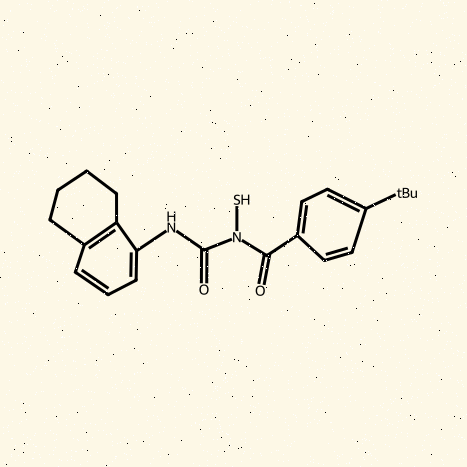 CC(C)(C)c1ccc(C(=O)N(S)C(=O)Nc2cccc3c2CCCC3)cc1